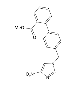 COC(=O)c1ccccc1-c1ccc(Cn2cnc([N+](=O)[O-])c2)cc1